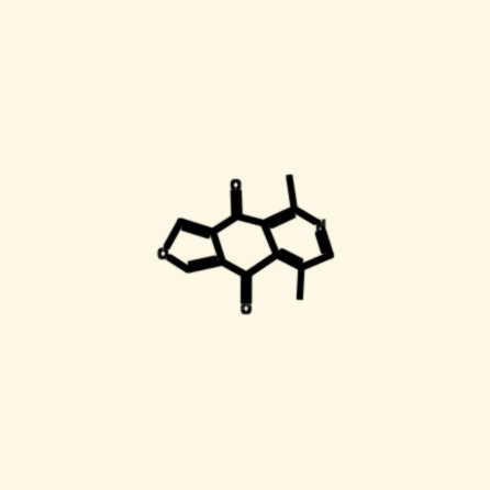 Cc1cnc(C)c2c1C(=O)c1cocc1C2=O